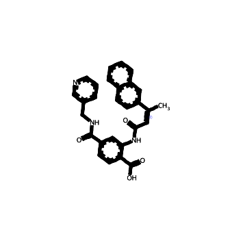 C/C(=C/C(=O)Nc1cc(C(=O)NCc2cccnc2)ccc1C(=O)O)c1ccc2ccccc2c1